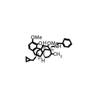 COc1ccc2c3c1O[C@H]1C(OC)[C@]4(CNCc5ccccc5)C[C@]5(CCC4C)[C@@H](C2)N(CC2CC2)CCC315